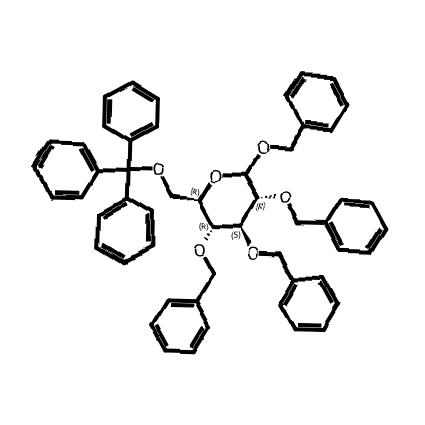 c1ccc(COC2O[C@H](COC(c3ccccc3)(c3ccccc3)c3ccccc3)[C@@H](OCc3ccccc3)[C@H](OCc3ccccc3)[C@H]2OCc2ccccc2)cc1